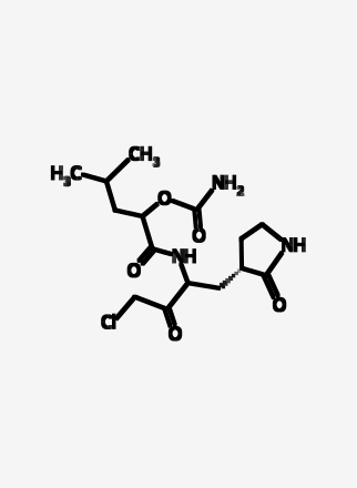 CC(C)CC(OC(N)=O)C(=O)NC(C[C@@H]1CCNC1=O)C(=O)CCl